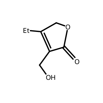 CCC1=C(CO)C(=O)OC1